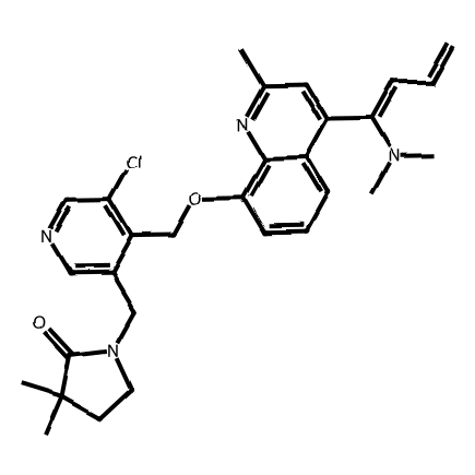 C=C/C=C(/c1cc(C)nc2c(OCc3c(Cl)cncc3CN3CCC(C)(C)C3=O)cccc12)N(C)C